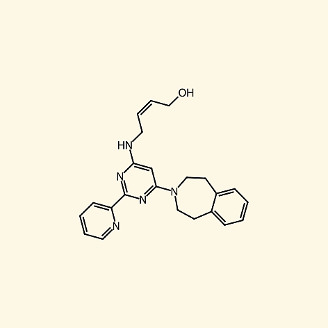 OC/C=C\CNc1cc(N2CCc3ccccc3CC2)nc(-c2ccccn2)n1